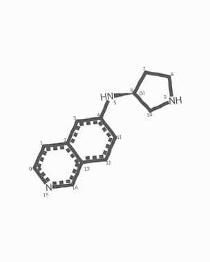 c1cc2cc(N[C@H]3CCNC3)ccc2cn1